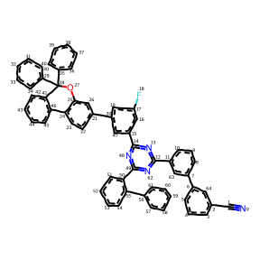 N#Cc1cccc(-c2cccc(-c3nc(-c4cc(F)cc(-c5ccc6c(c5)OC(c5ccccc5)(c5ccccc5)c5ccccc5-6)c4)nc(-c4ccccc4-c4ccccc4)n3)c2)c1